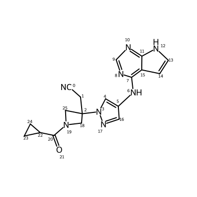 N#CCC1(n2cc(Nc3ncnc4[nH]ccc34)cn2)CN(C(=O)C2CC2)C1